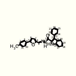 Cc1ccc(-c2ccc(C=NNC(=O)c3[nH]c4ccccc4c3-c3ccccc3)o2)cc1